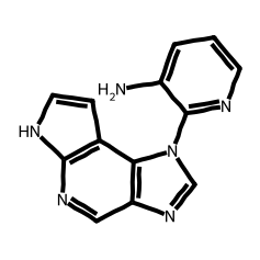 Nc1cccnc1-n1cnc2cnc3[nH]ccc3c21